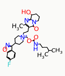 Cc1nc2n(c(=O)c1CC[N+]1(COC(=O)NCCCC(C)C)CCC(c3noc4cc(F)ccc34)CC1)CCCC2O